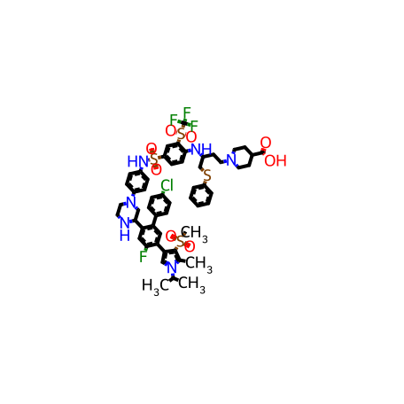 Cc1c(S(C)(=O)=O)c(-c2cc(-c3ccc(Cl)cc3)c(C3CN(c4ccc(NS(=O)(=O)c5ccc(NC(CCN6CCC(C(=O)O)CC6)CSc6ccccc6)c(S(=O)(=O)C(F)(F)F)c5)cc4)CCN3)cc2F)cn1C(C)C